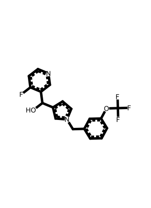 OC(c1ccn(Cc2cccc(OC(F)(F)F)c2)c1)c1cnccc1F